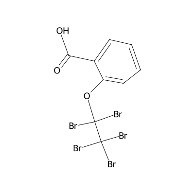 O=C(O)c1ccccc1OC(Br)(Br)C(Br)(Br)Br